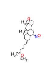 C=C(CCC/C=C1\CC[C@@]2(C)C(C1)C(N=O)CC1C2CC[C@]2(C)C(=O)CCC12)OC